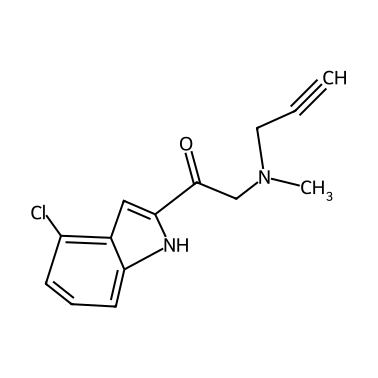 C#CCN(C)CC(=O)c1cc2c(Cl)cccc2[nH]1